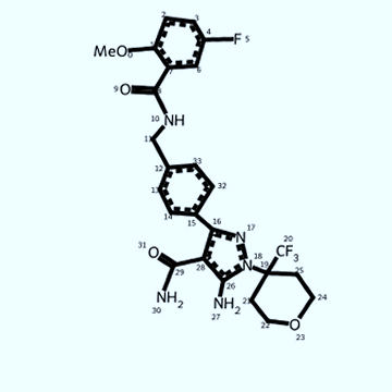 COc1ccc(F)cc1C(=O)NCc1ccc(-c2nn(C3(C(F)(F)F)CCOCC3)c(N)c2C(N)=O)cc1